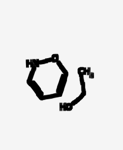 C1=CNOC=C1.CCO